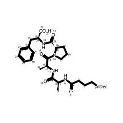 CCCCCCCCCCCCCC(=O)N[C@@H](C)C(=O)N[C@@H](C)C(=O)N1CCC[C@H]1C(=O)N[C@@H](Cc1ccccc1)C(=O)O